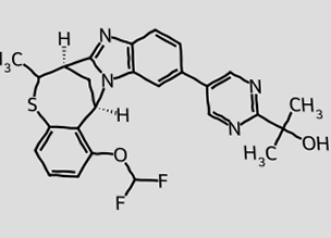 CC1Sc2cccc(OC(F)F)c2[C@H]2C[C@@H]1c1nc3ccc(-c4cnc(C(C)(C)O)nc4)cc3n12